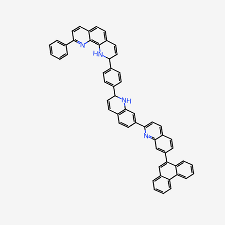 C1=CC(c2ccc(C3C=Cc4ccc5ccc(-c6ccccc6)nc5c4N3)cc2)Nc2cc(-c3ccc4ccc(-c5cc6ccccc6c6ccccc56)cc4n3)ccc21